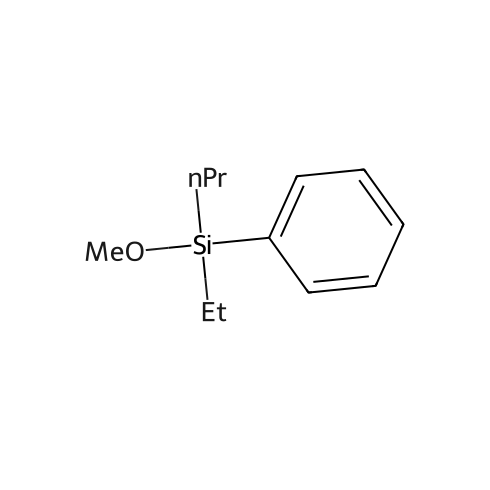 CCC[Si](CC)(OC)c1ccccc1